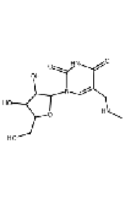 CNCc1cn(C2OC(CO)C(O)C2O)c(=O)[nH]c1=O